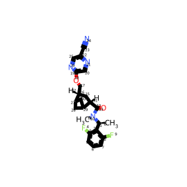 C[C@@H](c1c(F)cccc1F)N(C)C(=O)[C@H]1C[C@@H](COc2cnc(C#N)cn2)C2CC1C2